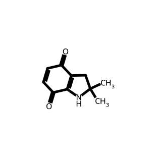 CC1(C)CC2=C(N1)C(=O)C=CC2=O